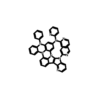 c1ccc(N2c3ccccc3B3c4c2cc(N(c2ccccn2)c2ccccn2)cc4-n2c4c3cccc4c3c4ncccc4n(-c4ccccn4)c32)cc1